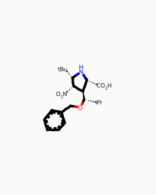 CC(C)[C@H](OCc1ccccc1)[C@H]1[C@H]([N+](=O)[O-])[C@H](C(C)(C)C)N[C@@H]1C(=O)O